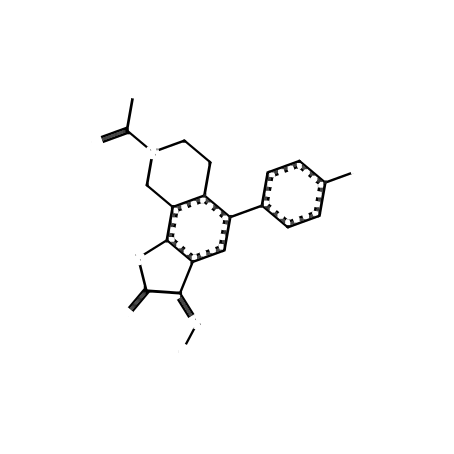 CC(=O)N1CCc2c(-c3ccc(Cl)cc3)cc3c(c2C1)NC(=O)/C3=N\O